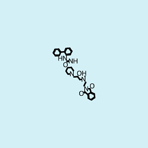 CN(CCN1C(=O)c2ccccc2C1=O)CC(O)CN1CCC(OC(=N)Nc2ccccc2-c2ccccc2)CC1